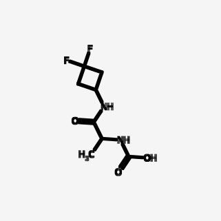 CC(NC(=O)O)C(=O)NC1CC(F)(F)C1